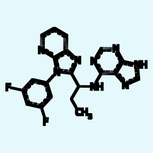 CCC(Nc1ncnc2[nH]cnc12)c1nc2cccnc2n1-c1cc(F)cc(F)c1